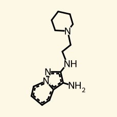 Nc1c(NCCN2CCCCC2)nn2ccccc12